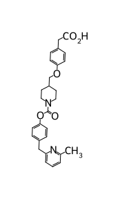 Cc1cccc(Cc2ccc(OC(=O)N3CCC(COc4ccc(CC(=O)O)cc4)CC3)cc2)n1